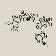 Nc1ncnc2c1ncn2[C@@H]1O[C@H](COP(=O)(O)OP(=O)(O)OCC2OC(O)[C@H](O)[C@@H]2O)[C@@H](O)[C@H]1OP(=O)(O)O